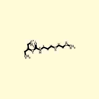 CCC(CC)OC(=O)NCCCOCCOC